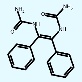 NC(=O)NC(=C(NC(N)=O)c1ccccc1)c1ccccc1